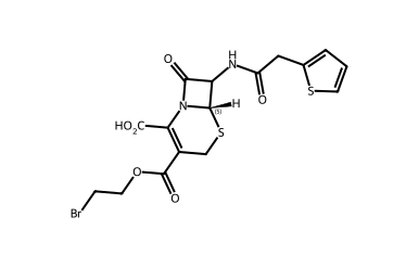 O=C(Cc1cccs1)NC1C(=O)N2C(C(=O)O)=C(C(=O)OCCBr)CS[C@@H]12